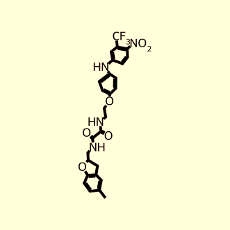 Cc1ccc2c(c1)CC(CNC(=O)C(=O)NCCOc1ccc(Nc3ccc([N+](=O)[O-])c(C(F)(F)F)c3)cc1)O2